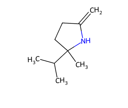 C=C1CCC(C)(C(C)C)N1